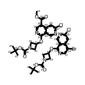 CC(C)(C)OC(=O)N1CC(Oc2ncc(Br)c3cc(Cl)ncc23)C1.COC(=O)c1cnc(OC2CN(C(=O)OC(C)(C)C)C2)c2cnc(Cl)cc12